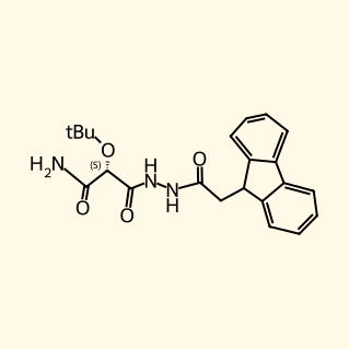 CC(C)(C)O[C@@H](C(N)=O)C(=O)NNC(=O)CC1c2ccccc2-c2ccccc21